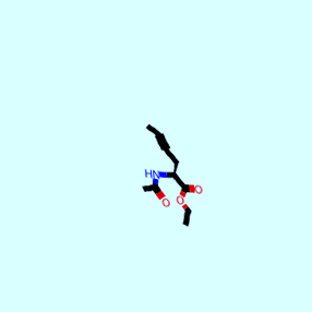 CC#CC[C@H](NC(C)=O)C(=O)OCC